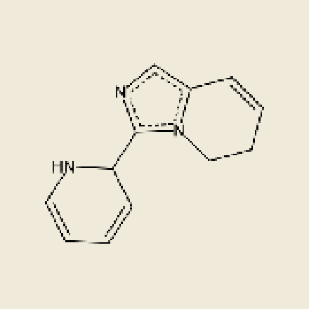 C1=CNC(c2ncc3n2CCC=C3)C=C1